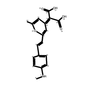 CNc1ccc(C=CC2=CC(=C(C(=O)O)C(=O)O)C=C(C)O2)cc1